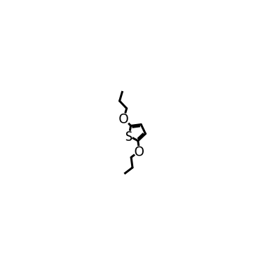 CCCOc1ccc(OCCC)s1